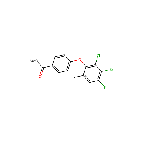 COC(=O)c1ccc(Oc2c(C)cc(F)c(Br)c2Cl)cc1